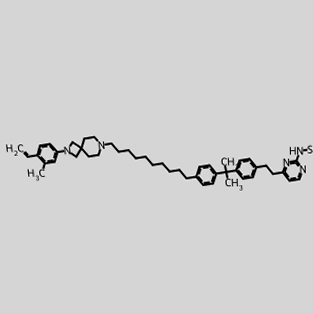 C=Cc1ccc(N2CC3(CCN(CCCCCCCCCCc4ccc(C(C)(C)c5ccc(CCc6ccnc(NSC)n6)cc5)cc4)CC3)C2)cc1C